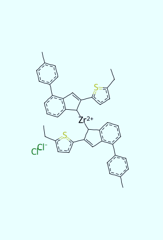 CCc1ccc(C2=Cc3c(-c4ccc(C)cc4)cccc3[CH]2[Zr+2][CH]2C(c3ccc(CC)s3)=Cc3c(-c4ccc(C)cc4)cccc32)s1.[Cl-].[Cl-]